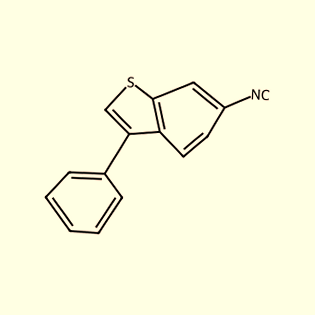 [C-]#[N+]c1ccc2c(-c3ccccc3)csc2c1